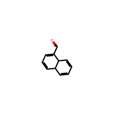 O=CC1=CC=CC2C=CC=CC12